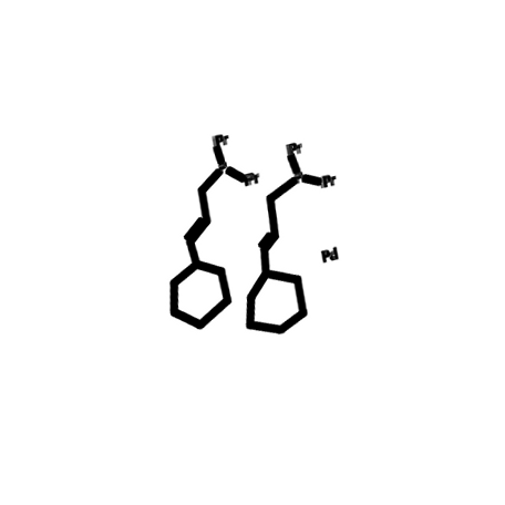 CC(C)P(CC=CC1CCCCC1)C(C)C.CC(C)P(CC=CC1CCCCC1)C(C)C.[Pd]